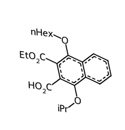 CCCCCCOc1c(C(=O)OCC)c(C(=O)O)c(OC(C)C)c2ccccc12